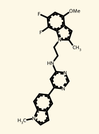 COc1cc(F)c(F)c2c1cc(C)n2CCNc1cc(-c2ccc3c(ccn3C)c2)ncn1